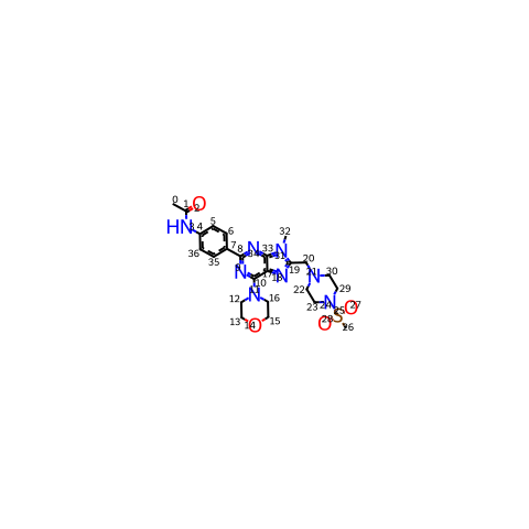 CC(=O)Nc1ccc(-c2nc(N3CCOCC3)c3nc(CN4CCN(S(C)(=O)=O)CC4)n(C)c3n2)cc1